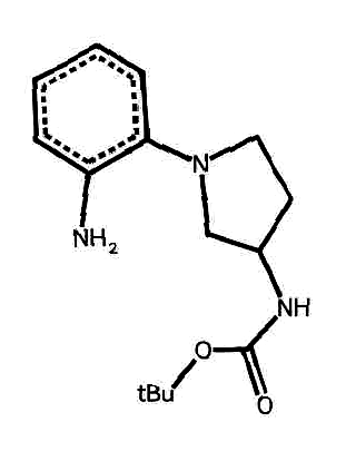 CC(C)(C)OC(=O)NC1CCN(c2ccccc2N)C1